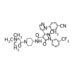 Cn1c(-c2ccnn2-c2ccc(C#N)cc2)c(C(=O)NC2CCN(C(=O)C[N+](C)(C)C)CC2)c(=O)n1-c1cccc(C(F)(F)F)c1